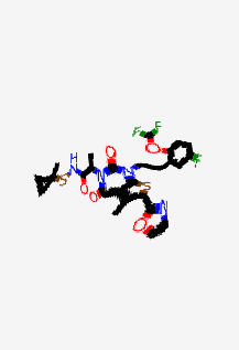 Cc1c(-c2ncco2)sc2c1c(=O)n(C(C)C(=O)NSC1(C)CC1)c(=O)n2CCc1cc(F)ccc1OC(F)F